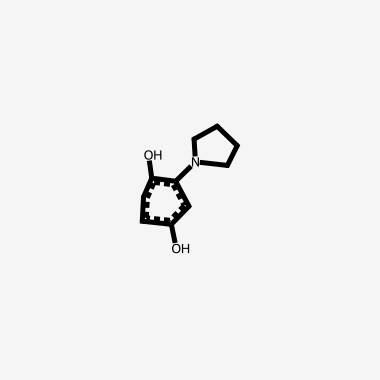 Oc1ccc(O)c(N2CCCC2)c1